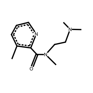 Cc1cccnc1C(=O)N(C)CCN(C)C